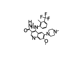 COc1cc2ncc(C(N)=O)c(Nc3cccc(C(F)(F)F)c3C)c2cc1N1CCN(C)CC1